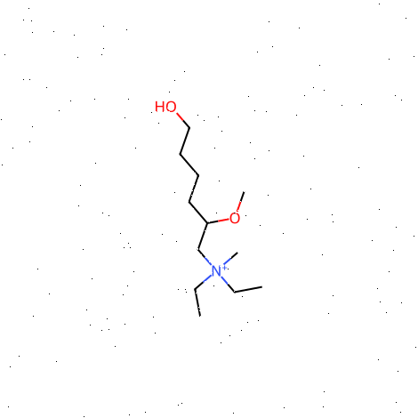 CC[N+](C)(CC)CC(CCCCO)OC